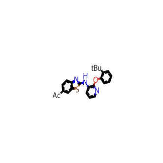 CC(=O)c1ccc2nc(Nc3cccnc3Oc3ccccc3C(C)(C)C)sc2c1